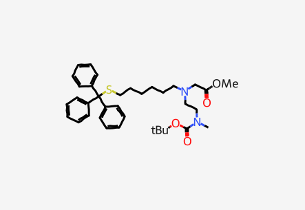 COC(=O)CN(CCCCCCSC(c1ccccc1)(c1ccccc1)c1ccccc1)CCN(C)C(=O)OC(C)(C)C